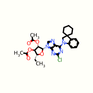 CC[C@H]1O[C@@H](n2cnc3c(N4CC5(CCCCC5)c5ccccc54)nc(Cl)nc32)[C@@H](OC(C)=O)C1OC(C)=O